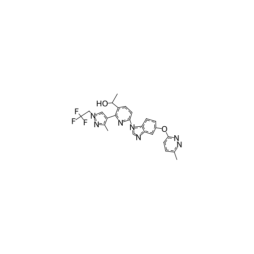 Cc1ccc(Oc2ccc3c(c2)ncn3-c2ccc(C(C)O)c(-c3cn(CC(F)(F)F)nc3C)n2)nn1